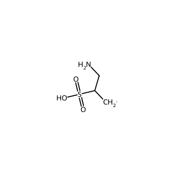 [CH2]C(CN)S(=O)(=O)O